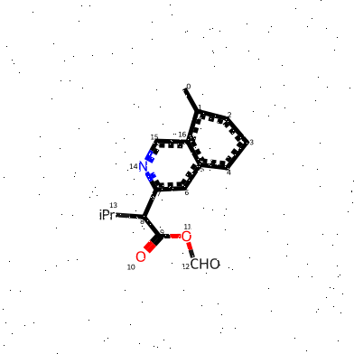 Cc1cccc2cc(C(C(=O)OC=O)C(C)C)ncc12